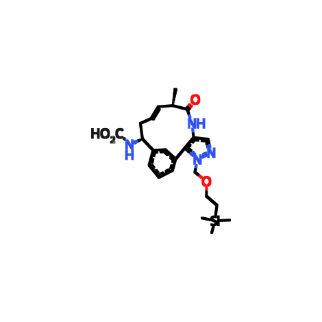 C[C@@H]1/C=C/C[C@H](NC(=O)O)c2cccc(c2)-c2c(cnn2COCC[Si](C)(C)C)NC1=O